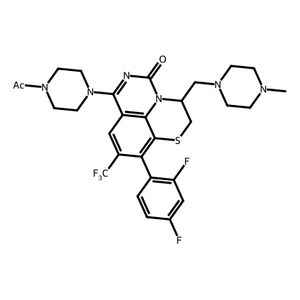 CC(=O)N1CCN(c2nc(=O)n3c4c(c(-c5ccc(F)cc5F)c(C(F)(F)F)cc24)SCC3CN2CCN(C)CC2)CC1